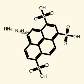 O=S(=O)(O)c1ccc2ccc3c(S(=O)(=O)O)cc(S(=O)(=O)O)c4ccc1c2c34.[NaH].[NaH].[NaH]